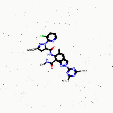 COC1=NN(c2ncccc2Cl)C(C(=O)Nc2c(C)cc3cn(-c4nc(OC)nc(OC)n4)nc3c2C(=O)NC(C)C)C1